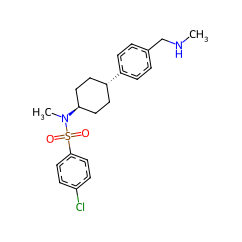 CNCc1ccc([C@H]2CC[C@H](N(C)S(=O)(=O)c3ccc(Cl)cc3)CC2)cc1